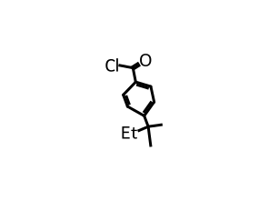 CCC(C)(C)c1ccc(C(=O)Cl)cc1